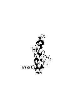 CCSc1ccc(CNc2nc3cnc(-c4c(OC)ncnc4C4CC4)nc3n(C(C)C(F)(F)F)c2=O)nc1